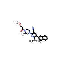 COCCC(=O)N1CCN(c2nc(C(C)C)c(-c3ccc4ccccc4c3)cc2C#N)C[C@H]1C